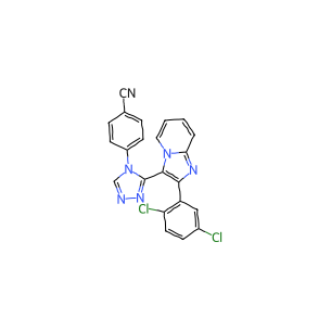 N#Cc1ccc(-n2cnnc2-c2c(-c3cc(Cl)ccc3Cl)nc3ccccn23)cc1